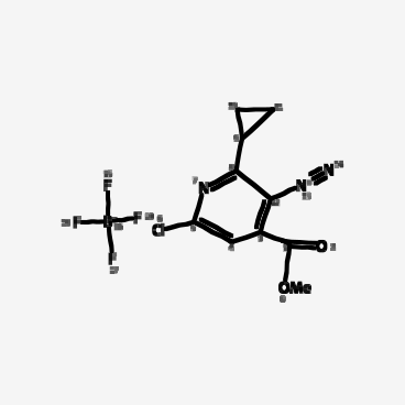 COC(=O)c1cc(Cl)nc(C2CC2)c1[N+]#N.F[B-](F)(F)F